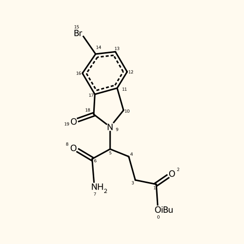 CC(C)COC(=O)CCC(C(N)=O)N1Cc2ccc(Br)cc2C1=O